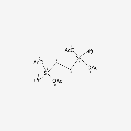 CC(=O)O[Si](CC[Si](OC(C)=O)(OC(C)=O)C(C)C)(OC(C)=O)C(C)C